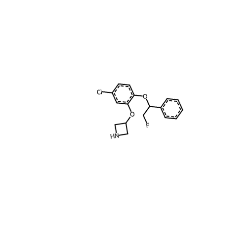 FCC(Oc1ccc(Cl)cc1OC1CNC1)c1ccccc1